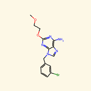 COCCOc1nc(N)c2ncn(Cc3cccc(Br)c3)c2n1